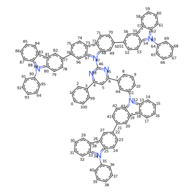 c1ccc(-c2cc(-c3cccc(-n4c5ccccc5c5cc(-c6ccc7c(c6)c6ccccc6n7-c6ccccc6)ccc54)c3)nc(-n3c4cc(-c5ccc6c(c5)c5ccccc5n6-c5ccccc5)ccc4c4ccc(-c5ccc6c(c5)c5ccccc5n6-c5ccccc5)cc43)n2)cc1